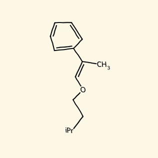 C/C(=C\OCCC(C)C)c1ccccc1